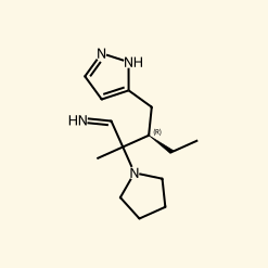 CC[C@H](Cc1ccn[nH]1)C(C)(C=N)N1CCCC1